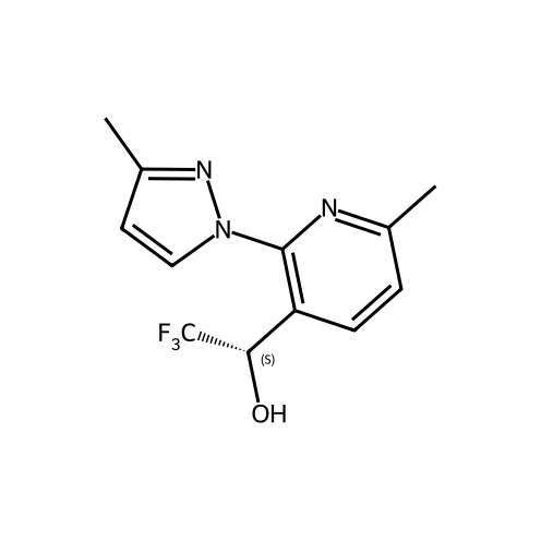 Cc1ccc([C@H](O)C(F)(F)F)c(-n2ccc(C)n2)n1